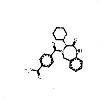 NC(=O)c1ccc(C(=O)N2Cc3ccccc3NC(=O)[C@@H]2C2CCCCC2)cc1